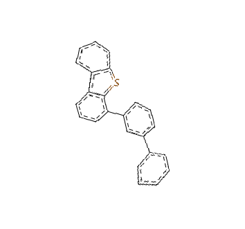 c1ccc(-c2cccc(-c3cccc4c3sc3ccccc34)c2)cc1